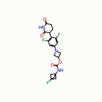 O=C1CCC(c2c(F)cc(N3CC(OC(=O)NC45CC(F)(C4)C5)C3)cc2F)C(=O)N1